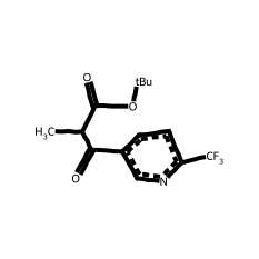 CC(C(=O)OC(C)(C)C)C(=O)c1ccc(C(F)(F)F)nc1